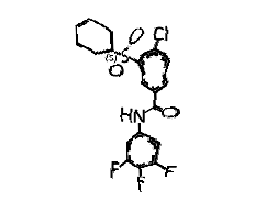 O=C(Nc1cc(F)c(F)c(F)c1)c1ccc(Cl)c(S(=O)(=O)[C@@H]2CC=CCC2)c1